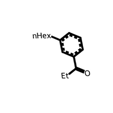 CCCCCCc1cccc(C(=O)CC)c1